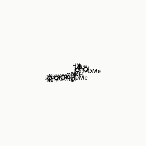 COc1ccc(-c2n[nH]c3ccc(NC(=O)[C@]4(OC)CCN(CC(=O)N5CCN(c6ccc(-c7ncccn7)cc6)CC5)C4)cc23)cc1